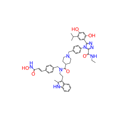 CCNC(=O)c1nnc(-c2cc(C(C)C)c(O)cc2O)n1-c1ccc(CN2CCC(C(=O)N(CCc3c(C)[nH]c4ccccc34)Cc3ccc(/C=C/C(=O)NO)cc3)CC2)cc1